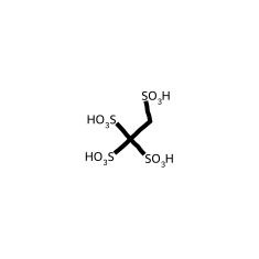 O=S(=O)(O)CC(S(=O)(=O)O)(S(=O)(=O)O)S(=O)(=O)O